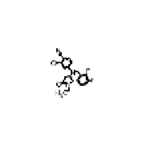 CCN1C[C@@H](N(Cc2cccc(F)c2F)c2ccc(C#N)c(Cl)c2)CC1=O